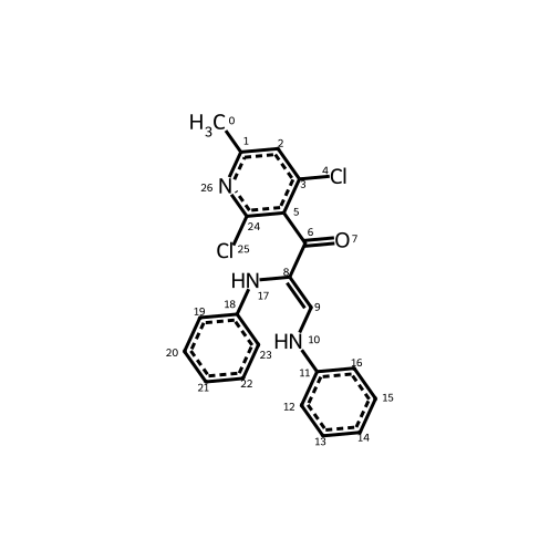 Cc1cc(Cl)c(C(=O)C(=CNc2ccccc2)Nc2ccccc2)c(Cl)n1